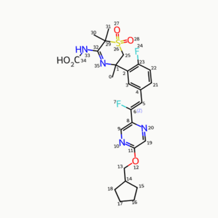 CC1(c2cc(/C=C(\F)c3cnc(OCC4CCCC4)cn3)ccc2F)CS(=O)(=O)C(C)(C)C(NC(=O)O)=N1